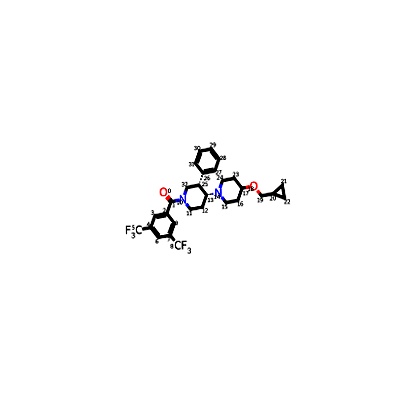 O=C(c1cc(C(F)(F)F)cc(C(F)(F)F)c1)N1CC[C@@H](N2CCC(OCC3CC3)CC2)[C@@H](c2ccccc2)C1